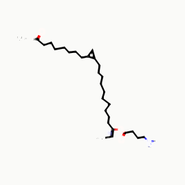 CCCCCC/C=C(\CCCCCCCCCCC1CC1CCCCCCCC(=O)OC)OC(=O)CCCN(C)C